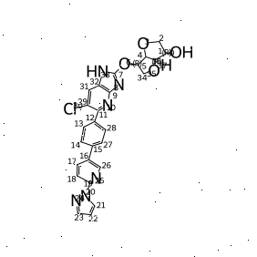 O[C@@H]1COC2[C@H](Oc3nc4nc(-c5ccc(-c6ccc(-n7cccn7)nc6)cc5)c(Cl)cc4[nH]3)CO[C@@H]21